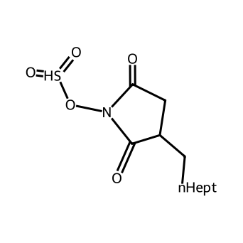 CCCCCCCCC1CC(=O)N(O[SH](=O)=O)C1=O